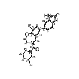 Cc1nc2ccc(-c3cc(C)c4c(c3)CN(C(=O)N3CCCC(C)C3)CCO4)cc2[nH]1